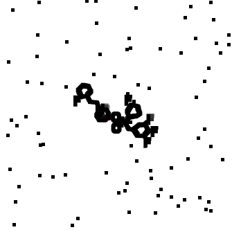 O=C(OC1C[N+]2(CCc3ccccc3F)CCC1CC2)N(Cc1cc(F)c(F)c(F)c1)c1cccc(F)c1